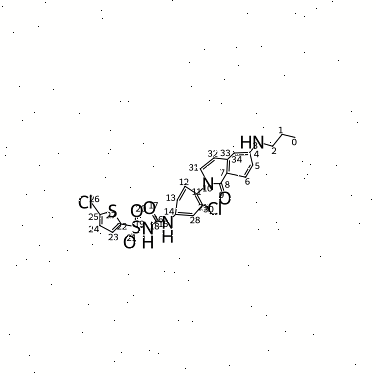 CCCNc1ccc2c(=O)n(-c3ccc(NC(=O)NS(=O)(=O)c4ccc(Cl)s4)cc3Cl)ccc2c1